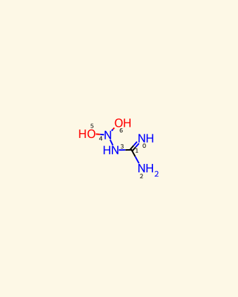 N=C(N)NN(O)O